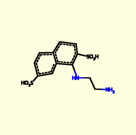 NCCNc1c(S(=O)(=O)O)ccc2ccc(S(=O)(=O)O)cc12